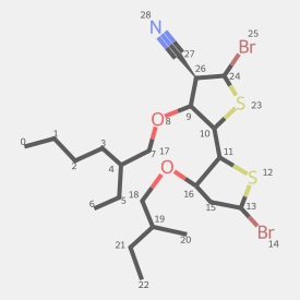 CCCCC(CC)COC1C(C2SC(Br)CC2OCC(C)CC)SC(Br)[C@@H]1C#N